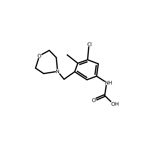 Cc1c(Cl)cc(NC(=O)O)cc1CN1CCOCC1